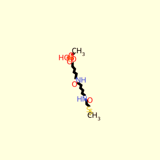 CCOP(=O)(O)OCCCCCCNC(=O)CCCCCNC(=O)CCSSC